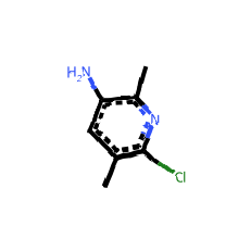 Cc1cc(N)c(C)nc1Cl